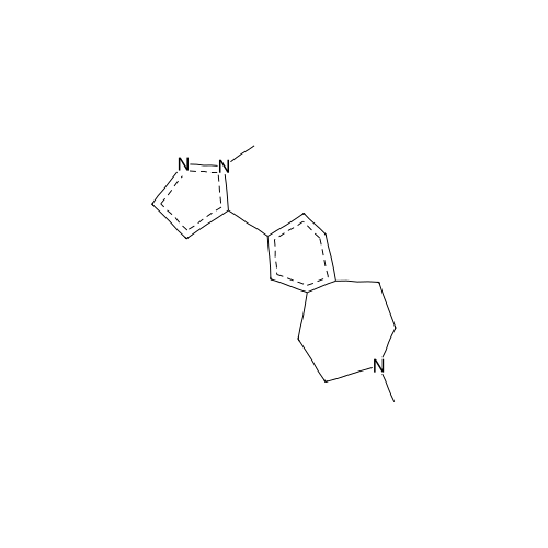 CN1CCc2ccc(-c3ccnn3C)cc2CC1